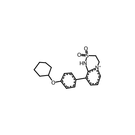 O=S1(=O)CC[n+]2cccc(-c3ccc(OC4CCCCC4)cc3)c2N1